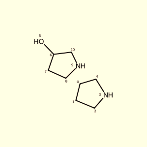 C1CCNC1.OC1CCNC1